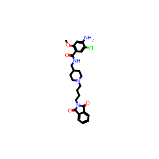 COc1cc(N)c(Cl)cc1C(=O)NCC1CCN(CCCCN2C(=O)c3ccccc3C2=O)CC1